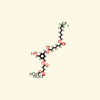 CCCCCCCCOC(CCC(=O)OCc1cc(CO)cc(COC(=O)CCCCCC(=O)OCCCCCCC(F)(F)C(F)(F)F)c1)OCCCCCCCC